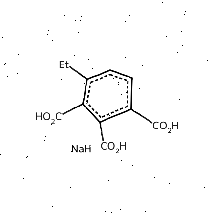 CCc1ccc(C(=O)O)c(C(=O)O)c1C(=O)O.[NaH]